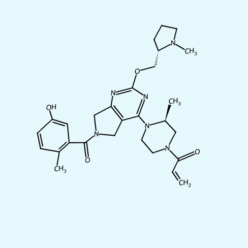 C=CC(=O)N1CCN(c2nc(OC[C@@H]3CCCN3C)nc3c2CN(C(=O)c2cc(O)ccc2C)C3)[C@@H](C)C1